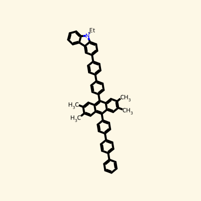 CCn1c2ccccc2c2cc(-c3ccc(-c4ccc(-c5c6cc(C)c(C)cc6c(-c6ccc(-c7ccc(-c8ccccc8)cc7)cc6)c6cc(C)c(C)cc56)cc4)cc3)ccc21